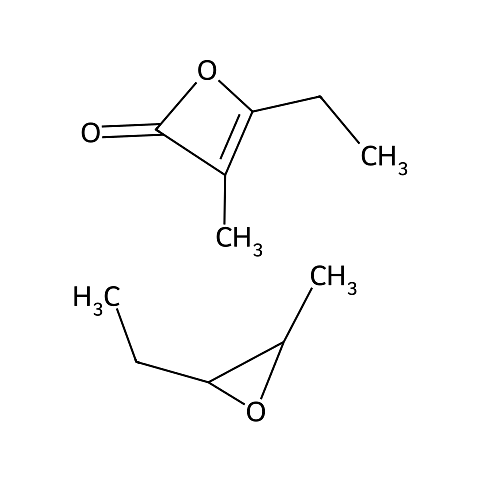 CCC1=C(C)C(=O)O1.CCC1OC1C